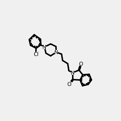 O=C1c2ccccc2C(=O)N1CCCCN1CCN(c2ccccc2Cl)CC1